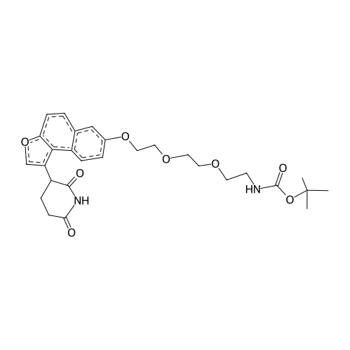 CC(C)(C)OC(=O)NCCOCCOCCOc1ccc2c(ccc3occ(C4CCC(=O)NC4=O)c32)c1